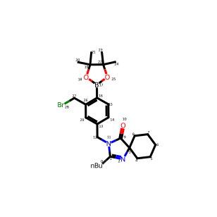 CCCCC1=NC2(CCCCC2)C(=O)N1Cc1ccc(B2OC(C)(C)C(C)(C)O2)c(CBr)c1